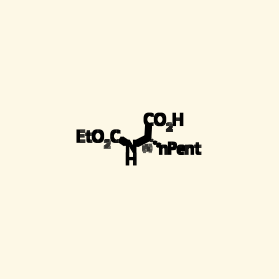 CCCCC[C@H](NC(=O)OCC)C(=O)O